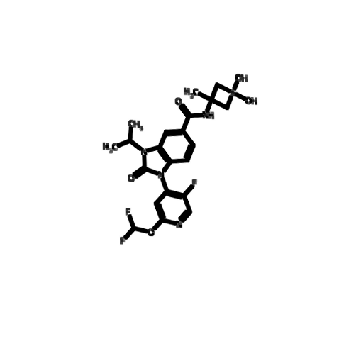 CC(C)n1c(=O)n(-c2cc(OC(F)F)ncc2F)c2ccc(C(=O)NC3(C)CS(O)(O)C3)cc21